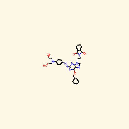 O=C1c2ccccc2C(=O)N1CCn1cnc2c(OCc3ccccc3)nc(N=Nc3ccc(N(CCO)CCO)cc3)nc21